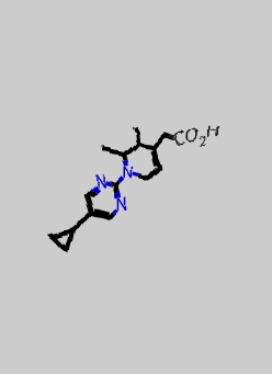 CC1C(CC(=O)O)=CCN(c2ncc(C3CC3)cn2)C1C